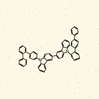 c1ccc(-c2ccc(-c3ccccc3-n3c4ccccc4c4cc(-c5ccc6c(c5)c5ccccc5n6-c5ccc(-c6ccccc6-c6ccccc6)cc5)ccc43)cc2)cc1